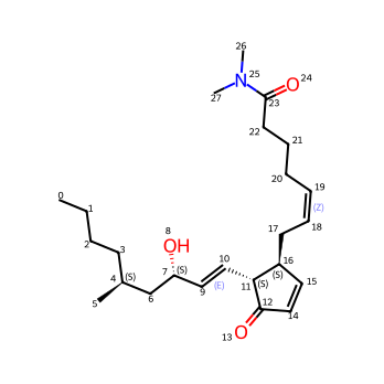 CCCC[C@H](C)C[C@H](O)/C=C/[C@H]1C(=O)C=C[C@@H]1C/C=C\CCCC(=O)N(C)C